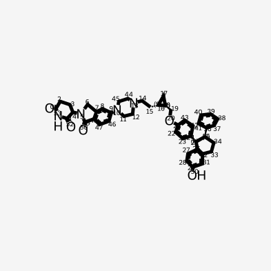 O=C1CCC(N2Cc3cc(N4CCN(CC[C@@H]5C[C@H]5COc5ccc([C@@H]6c7ccc(O)cc7CC[C@@H]6c6ccccc6)cc5)CC4)ccc3C2=O)C(=O)N1